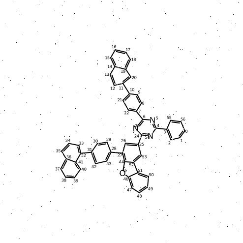 c1ccc(-c2nc(-c3ccc(-c4ccc5ccccc5c4)cc3)nc(-c3cc(-c4ccc(-c5cccc6ccccc56)cc4)c4oc5ccccc5c4c3)n2)cc1